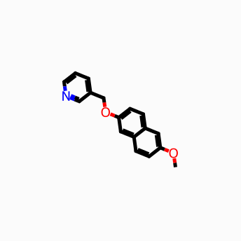 COc1ccc2cc(OCc3cccnc3)ccc2c1